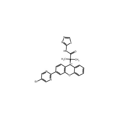 CCc1cnc(-c2ccc3c(c2)Oc2ccccc2[C@@H]3C(C)(C)C(=O)Nc2nncs2)nc1